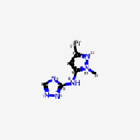 CC(C)c1cc(NC2=NN=C[N]2)n(C)n1